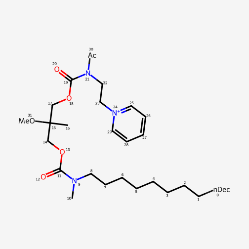 CCCCCCCCCCCCCCCCCCN(C)C(=O)OCC(C)(COC(=O)N(CC[n+]1ccccc1)C(C)=O)OC